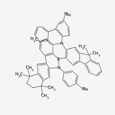 Cc1cc2c3c(c1)N(c1ccc(C(C)(C)C)cc1-c1ccccc1)c1cc4c(cc1B3N(c1ccc(C(C)(C)C)cc1)c1cc3c(cc1-2)C(C)(C)CCC3(C)C)-c1ccccc1C4(C)C